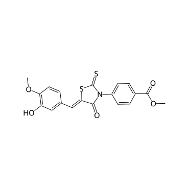 COC(=O)c1ccc(N2C(=O)C(=Cc3ccc(OC)c(O)c3)SC2=S)cc1